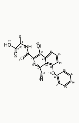 C[C@@H](NC(=O)c1nc(C#N)c2c(Oc3ccccc3)cccc2c1O)C(=O)O